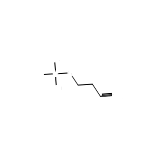 C=CCCN[Si](C)(C)C(C)(C)C